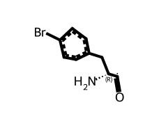 N[C@@H]([C]=O)Cc1ccc(Br)cc1